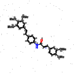 COc1ccc(/C=C/C(=O)Nc2ccc(C=Cc3cc(OC)c(OC)c(OC)c3)cc2)cc1OC